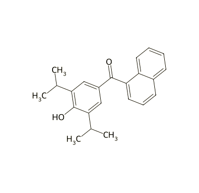 CC(C)c1cc(C(=O)c2cccc3ccccc23)cc(C(C)C)c1O